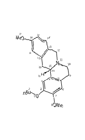 CCCCOc1cc2c(cc1OC)CCN1Cc3ccc(OC)cc3C[C@@H]21